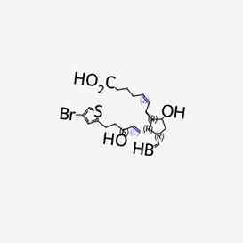 B=C[C@@H]1CC(O)[C@H](C/C=C\CCCC(=O)O)[C@H]1/C=C/[C@@H](O)CCc1cc(Br)cs1